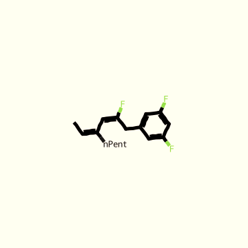 C/C=C(\C=C(\F)Cc1cc(F)cc(F)c1)CCCCC